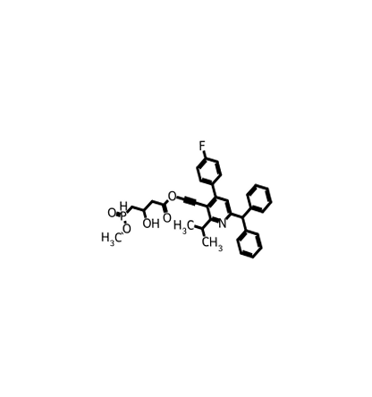 CO[PH](=O)CC(O)CC(=O)OC#Cc1c(-c2ccc(F)cc2)cc(C(c2ccccc2)c2ccccc2)nc1C(C)C